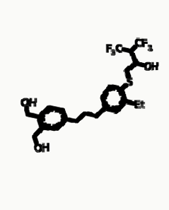 CCc1cc(CCCc2ccc(CO)c(CO)c2)ccc1SCC(O)C(C(F)(F)F)C(F)(F)F